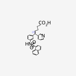 O=C(O)CCC/C=C(\c1cccnc1)c1cccc(NS(=O)(=O)c2cccc3ccccc23)c1